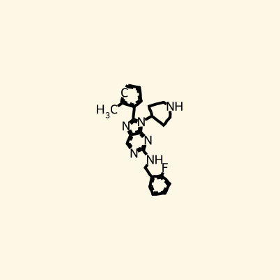 Cc1ccccc1-c1nc2cnc(NCc3ccccc3F)nc2n1C1CCNCC1